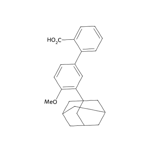 COc1ccc(-c2ccccc2C(=O)O)cc1C12CC3CC(CC(C3)C1)C2